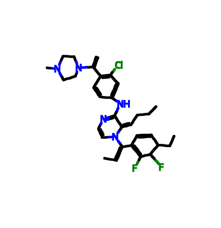 C=C(c1ccc(NC2=NC=CN(/C(=C\C)C3=C(F)C(F)C(CC)C=C3)/C2=C/CCC)cc1Cl)N1CCN(C)CC1